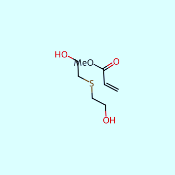 C=CC(=O)OC.OCCSCCO